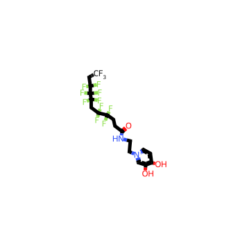 O=C(CCC(F)(F)C(F)(F)CC(F)(F)C(F)(F)C(F)(F)CC(F)(F)F)NCC[n+]1ccc(O)c(O)c1